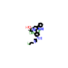 C[C@@H]1Cc2c([nH]c3ccccc23)[C@@H](c2c(F)cc(NC3CN(CCCF)C3)cc2F)N1C[C@@](C)(Cl)CO